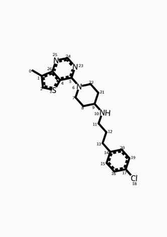 Cc1csc2c(N3CCC(NCCCc4ccc(Cl)cc4)CC3)ncnc12